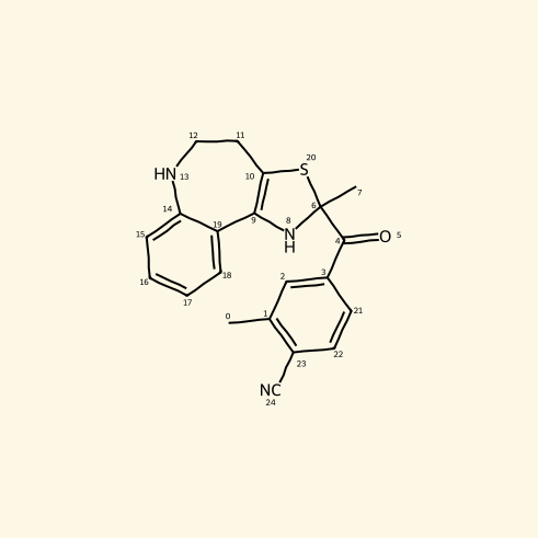 Cc1cc(C(=O)C2(C)NC3=C(CCNc4ccccc43)S2)ccc1C#N